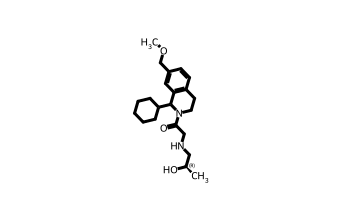 COCc1ccc2c(c1)C(C1CCCCC1)N(C(=O)CNC[C@@H](C)O)CC2